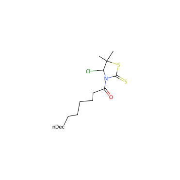 CCCCCCCCCCCCCCCC(=O)N1C(=S)SC(C)(C)C1Cl